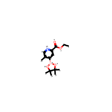 CCOC(=O)c1cc(B2OC(C)(C)C(C)(C)O2)c(C)cn1